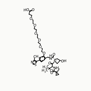 Cc1ncsc1-c1ccc(CNC(=O)[C@@H]2C[C@@H](O)CN2C(=O)[C@@H](NC(=O)C2(F)CC2)C(C)(C)C)c(OCCOCCOCCOCCOCCOCCC(=O)O)c1